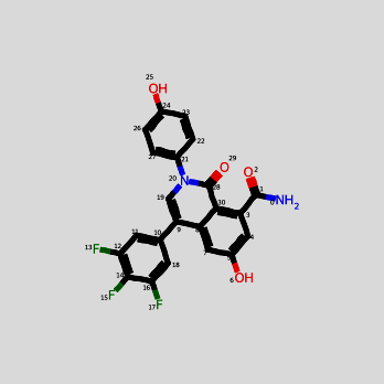 NC(=O)c1cc(O)cc2c(-c3cc(F)c(F)c(F)c3)cn(-c3ccc(O)cc3)c(=O)c12